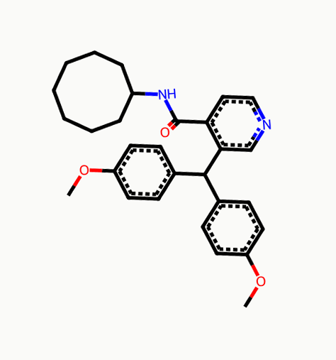 COc1ccc(C(c2ccc(OC)cc2)c2cnccc2C(=O)NC2CCCCCCC2)cc1